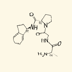 C[C@H](N)C(=O)NCC(=O)N1CCC[C@H]1C(=O)N[C@@H]1CCc2ccccc21